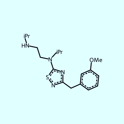 COc1cccc(Cc2nsc(N(CCNC(C)C)C(C)C)n2)c1